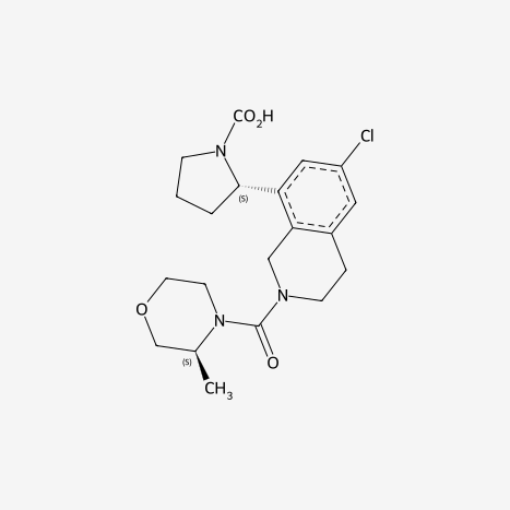 C[C@H]1COCCN1C(=O)N1CCc2cc(Cl)cc([C@@H]3CCCN3C(=O)O)c2C1